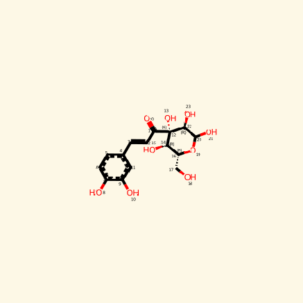 O=C(C=Cc1ccc(O)c(O)c1)[C@]1(O)[C@H](O)[C@@H](CO)OC(O)[C@@H]1O